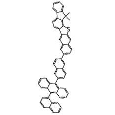 CC1(C)c2ccccc2-c2ccc3c(sc4cc5ccc(-c6ccc7cc(-c8c9ccccc9c(-c9cccc%10ccccc9%10)c9ccccc89)ccc7c6)cc5cc43)c21